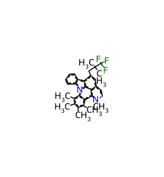 Cc1c(C)c(C)c2c(c1C)c1c3c(cc[n+]1C)cc(CC(C)(C)C(F)(F)F)c1c4ccccc4n2c13